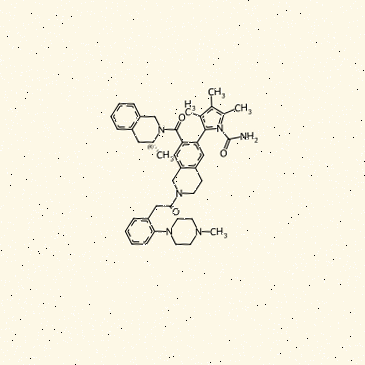 Cc1c(C)c(-c2cc3c(cc2C(=O)N2Cc4ccccc4C[C@H]2C)CN(C(=O)Cc2ccccc2N2CCN(C)CC2)CC3)n(C(N)=O)c1C